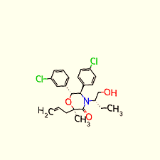 C=CC[C@@]1(C)O[C@H](c2cccc(Cl)c2)[C@@H](c2ccc(Cl)cc2)N([C@@H](CC)CO)C1=O